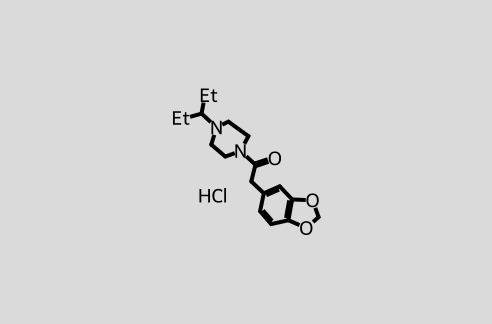 CCC(CC)N1CCN(C(=O)Cc2ccc3c(c2)OCO3)CC1.Cl